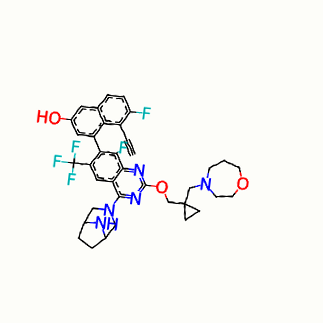 C#Cc1c(F)ccc2cc(O)cc(-c3c(C(F)(F)F)cc4c(N5CC6CCC(C5)N6)nc(OCC5(CN6CCCOCC6)CC5)nc4c3F)c12